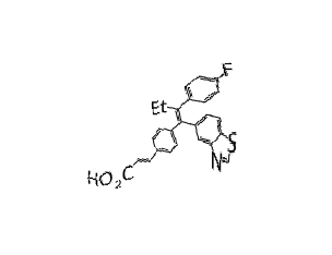 CCC(=C(c1ccc(C=CC(=O)O)cc1)c1ccc2scnc2c1)c1ccc(F)cc1